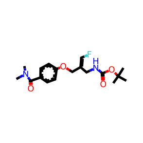 CN(C)C(=O)c1ccc(OCC(=CF)CNC(=O)OC(C)(C)C)cc1